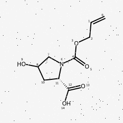 C=CCOC(=O)N1CC(O)C[C@H]1C(=O)O